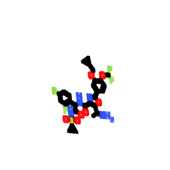 C[C@H](N)c1oc(-c2ccc(OC(F)F)c(OCC3CC3)c2)nc1C(=O)NC(C(=O)NS(=O)(=O)C1CC1)c1ccc(F)cc1F